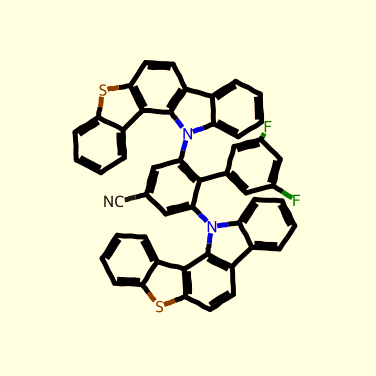 N#Cc1cc(-n2c3ccccc3c3ccc4sc5ccccc5c4c32)c(-c2cc(F)cc(F)c2)c(-n2c3ccccc3c3ccc4sc5ccccc5c4c32)c1